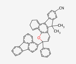 CC1(C)c2cc(C#N)ccc2-c2c1c1c(c3c2=CCCC=3)OC(c2ccccc2)(c2ccc3c4c(cccc24)-c2ccccc2-3)C=C1